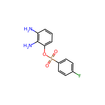 Nc1cccc(OS(=O)(=O)c2ccc(F)cc2)c1N